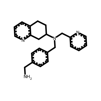 NCc1ccc(CN(Cc2ccccn2)C2CCc3cccnc3C2)cc1